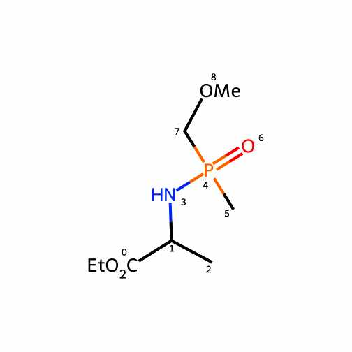 CCOC(=O)C(C)NP(C)(=O)COC